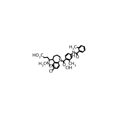 Cc1ccccc1C(=O)Nc1ccc(C(=O)N2CCCC(C(CCC(=O)O)N(C)C)c3cc(Cl)ccc32)c(C)c1.Cl